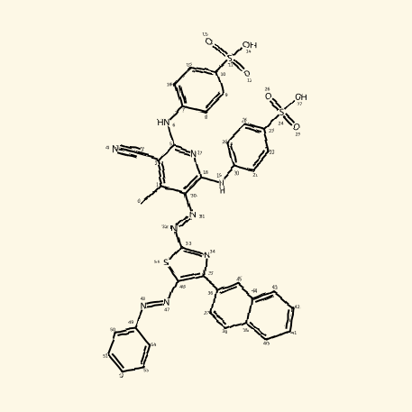 Cc1c(C#N)c(Nc2ccc(S(=O)(=O)O)cc2)nc(Nc2ccc(S(=O)(=O)O)cc2)c1N=Nc1nc(-c2ccc3ccccc3c2)c(N=Nc2ccccc2)s1